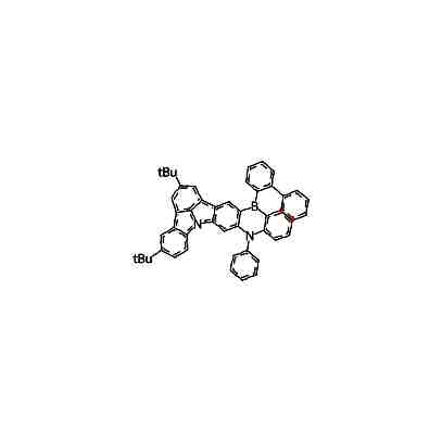 CC(C)(C)c1ccc2c(c1)c1cc(C(C)(C)C)cc3c4cc5c(cc4n2c13)N(c1ccccc1)c1ccccc1B5c1ccccc1-c1ccccc1